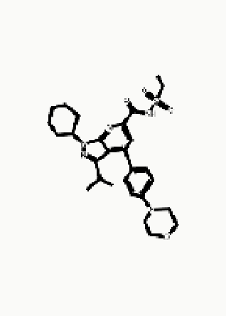 CCS(=O)(=O)NC(=O)c1cc(-c2ccc(N3CCOCC3)cc2)c2c(C(C)C)nn(C3CCCCC3)c2n1